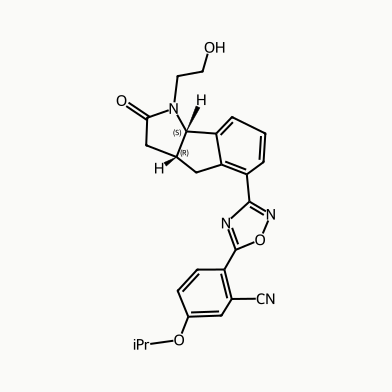 CC(C)Oc1ccc(-c2nc(-c3cccc4c3C[C@@H]3CC(=O)N(CCO)[C@H]43)no2)c(C#N)c1